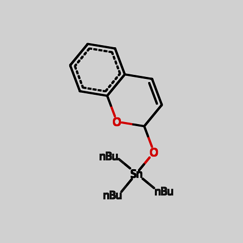 CCC[CH2][Sn]([CH2]CCC)([CH2]CCC)[O]C1C=Cc2ccccc2O1